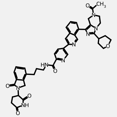 CC(=O)N1CCn2c(C3CCOCC3)nc(-c3cccc4cc(-c5ccc(C(=O)NCCCc6cccc7c6CN(C6CCC(=O)NC6=O)C7=O)nc5)ncc34)c2C1